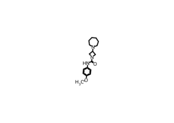 COc1ccc(NC(=O)N2CC(N3CCCCCC3)C2)cc1